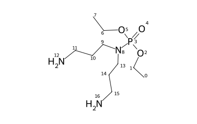 CCOP(=O)(OCC)N(CCCN)CCCN